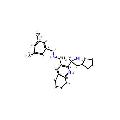 CC(N)(CC1CCCC1)c1nc2c(cc1CNCc1cc(C(F)(F)F)cc(C(F)(F)F)c1)CCCC2